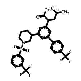 CC(C)CC(C(=O)O)c1cc(-c2ccc(C(F)(F)F)cc2)cc(C2CCCN(S(=O)(=O)c3cccc(C(F)(F)F)c3)C2)c1